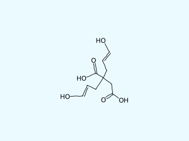 O=C(O)CC(CC=CO)(CC=CO)C(=O)O